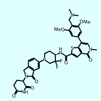 COc1cc(-c2cn(C)c(=O)c3cc(C(=O)N[C@@H]4CCN(c5ccc6c(c5)C(=O)N(C5CCC(=O)NC5=O)C6)CC4(F)F)sc23)cc(OC)c1CN(C)C